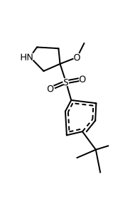 COC1(S(=O)(=O)c2ccc(C(C)(C)C)cc2)CCNC1